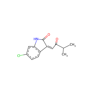 CC(C)C(=O)C=C1C(=O)Nc2cc(Cl)ccc21